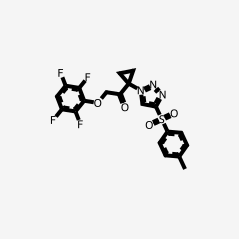 Cc1ccc(S(=O)(=O)c2cn(C3(C(=O)COc4c(F)c(F)cc(F)c4F)CC3)nn2)cc1